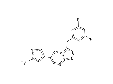 Cn1cc(-c2cnc3ncn(Cc4cc(F)cc(F)c4)c3c2)cn1